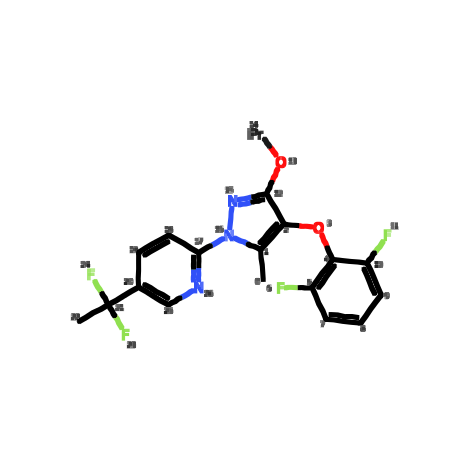 Cc1c(Oc2c(F)cccc2F)c(OC(C)C)nn1-c1ccc(C(C)(F)F)cn1